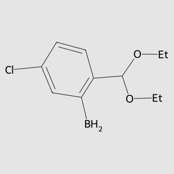 Bc1cc(Cl)ccc1C(OCC)OCC